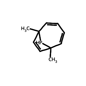 CC12C=CC=CC(C)(C=C1)P2